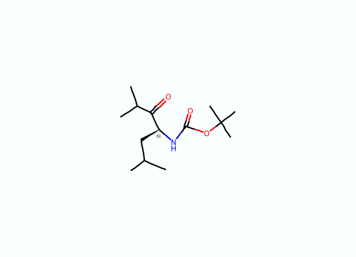 CC(C)C[C@H](NC(=O)OC(C)(C)C)C(=O)C(C)C